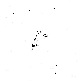 [Al].[Ga].[In+3].[N-3]